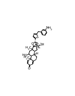 C[C@]12C=CC(=O)C=C1CC[C@@H]1C2[C@@H](O)C[C@@]2(C)C1C[C@H]1O[C@H](c3ccc(Cc4cccc(N)c4)s3)O[C@]12C(=O)CO